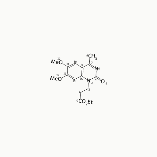 CCOC(=O)CCn1c(=O)nc(C)c2cc(OC)c(OC)cc21